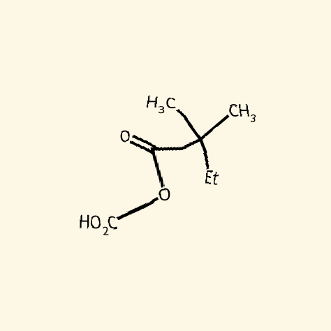 CCC(C)(C)C(=O)OC(=O)O